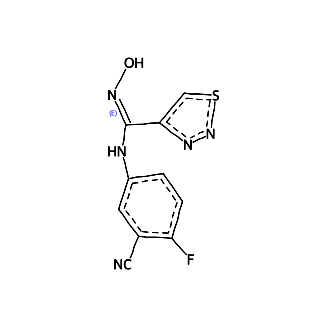 N#Cc1cc(N/C(=N/O)c2csnn2)ccc1F